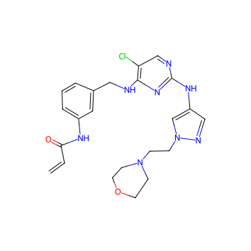 C=CC(=O)Nc1cccc(CNc2nc(Nc3cnn(CCN4CCOCC4)c3)ncc2Cl)c1